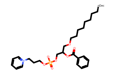 CCCCCCCCCCCCCCCCCCOCC(COP(=O)([O-])OCCC[n+]1ccccc1)OC(=O)c1ccccc1